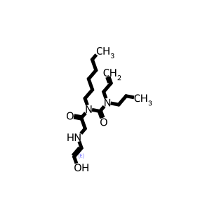 C=CCN(CCC)C(=O)N(CCCCCC)C(=O)CN/C=C/O